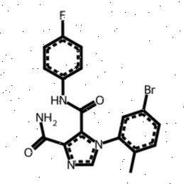 Cc1ccc(Br)cc1-n1cnc(C(N)=O)c1C(=O)Nc1ccc(F)cc1